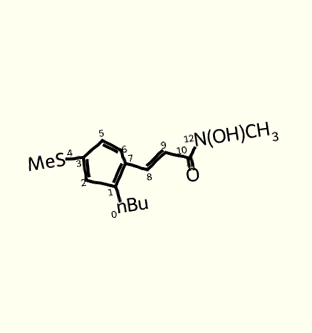 CCCCc1cc(SC)ccc1/C=C/C(=O)N(C)O